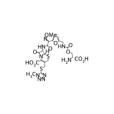 CON=C(C(=O)N[C@@H]1C(=O)N2C(C(=O)O)=C(CSc3nnnn3C)CS[C@@H]12)c1ccc(CNC(=O)OC[C@@H](N)C(=O)O)o1